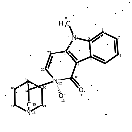 Cn1c2c(c3ccccc31)C(=O)[N@@+]([O-])(C1CN3CCC1CC3)C=C2